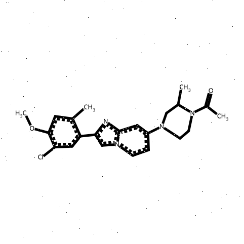 COc1cc(C)c(-c2cn3ccc(N4CCN(C(C)=O)C(C)C4)cc3n2)cc1Cl